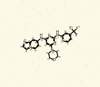 FC(F)(F)c1ccnc(Nc2nc(Nc3ccn4ccnc4c3)cc(N3CCOCC3)n2)c1